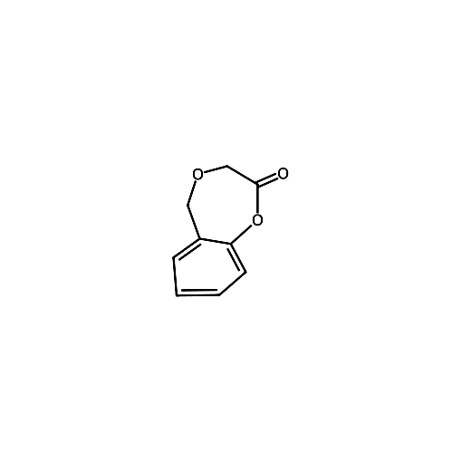 O=C1COCc2ccccc2O1